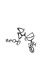 COC(=O)c1ccc(C(F)(F)F)c(C2CC2C2OCC(NC(=O)OC(C)(C)C)CO2)c1